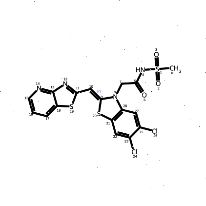 CS(=O)(=O)NC(=O)CN1/C(=C/c2nc3ncccc3s2)Sc2cc(Cl)c(Cl)cc21